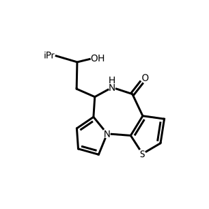 CC(C)C(O)CC1NC(=O)c2ccsc2-n2cccc21